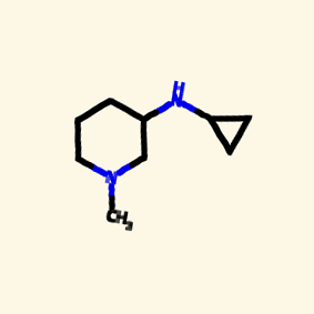 CN1CCCC(NC2CC2)C1